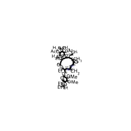 CC[C@H]1OC(=O)C[C@@H](O)[C@H](C)[C@@H](O[C@@H]2OC(C)[C@@H](OC(C)=O)C(N(C)C)C2OC(C)=O)[C@@H](CCO)C[C@@H](C)C(=O)/C=C/C(C)=C/C1CO[C@@H]1OC=C(O[Si](CC)(CC)CC)C(OC)C1OC